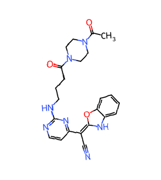 CC(=O)N1CCN(C(=O)CCCNc2nccc(C(C#N)=C3Nc4ccccc4O3)n2)CC1